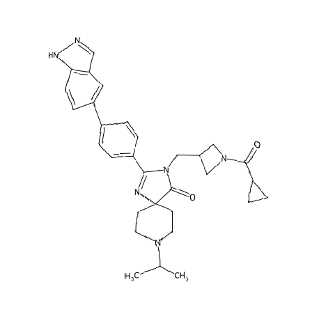 CC(C)N1CCC2(CC1)N=C(c1ccc(-c3ccc4[nH]ncc4c3)cc1)N(CC1CN(C(=O)C3CC3)C1)C2=O